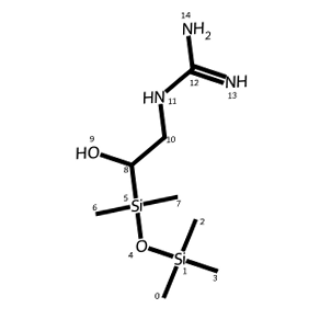 C[Si](C)(C)O[Si](C)(C)C(O)CNC(=N)N